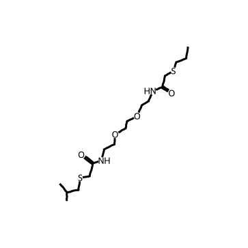 CCCSCC(=O)NCCOCCOCCNC(=O)CSCC(C)C